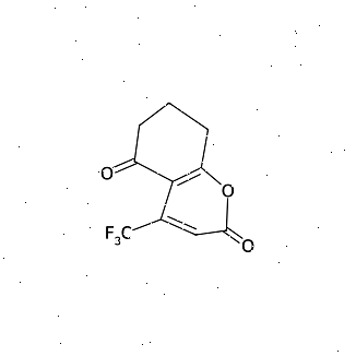 O=C1CCCc2oc(=O)cc(C(F)(F)F)c21